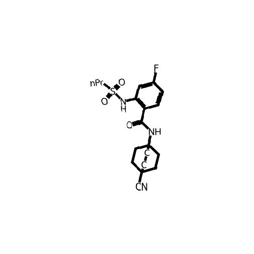 CCCS(=O)(=O)Nc1cc(F)ccc1C(=O)NC12CCC(C#N)(CC1)CC2